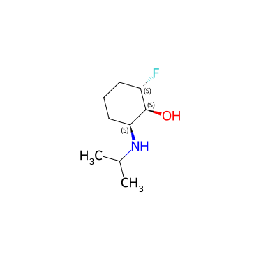 CC(C)N[C@H]1CCC[C@H](F)[C@H]1O